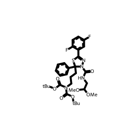 COC(CNC(=O)N1N=C(c2cc(F)ccc2F)SC1(CCCN(C(=O)OC(C)(C)C)C(=O)OC(C)(C)C)c1ccccc1)OC